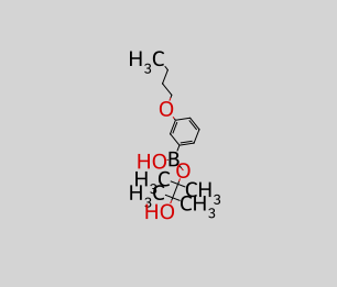 CCCCOc1cccc(B(O)OC(C)(C)C(C)(C)O)c1